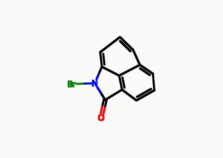 O=C1c2cccc3cccc(c23)N1Br